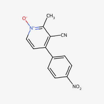 Cc1c(C#N)c(-c2ccc([N+](=O)[O-])cc2)cc[n+]1[O-]